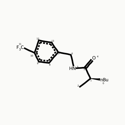 CCCC[C@@H](C)C(=O)NCc1ccc(C(F)(F)F)cc1